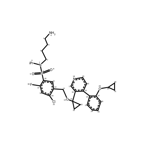 CC(C)N(CCCCN)S(=O)(=O)c1cc(COC2(c3cnccc3-c3ccccc3OC3CC3)CC2)c(Cl)cc1F